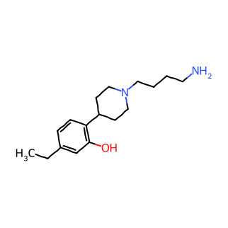 CCc1ccc(C2CCN(CCCCN)CC2)c(O)c1